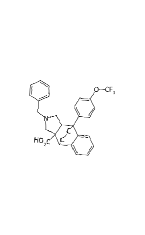 O=C(O)C12CN(Cc3ccccc3)CC1C1(c3ccc(OC(F)(F)F)cc3)CCC2c2ccccc21